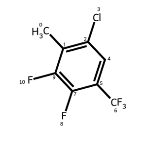 Cc1c(Cl)cc(C(F)(F)F)c(F)c1F